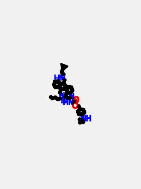 CCCCc1nc2c(NC(=O)OCc3ccc(NC(C)(C)C)cc3)nc3ccccc3c2n1Cc1ccc(CNCCC2CC2)c2ccccc12